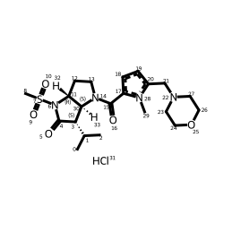 CC(C)[C@@H]1C(=O)N(S(C)(=O)=O)[C@@H]2CCN(C(=O)c3ccc(CN4CCOCC4)n3C)[C@H]21.Cl